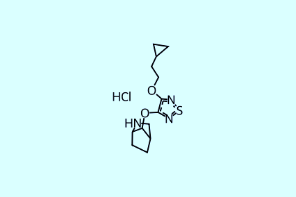 C(CC1CC1)Oc1nsnc1OC1C2CCC1NC2.Cl